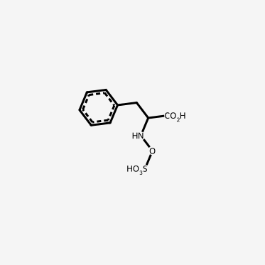 O=C(O)C(Cc1ccccc1)NOS(=O)(=O)O